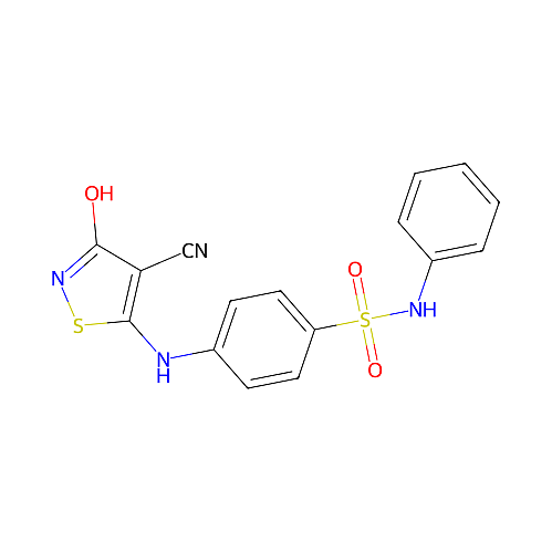 N#Cc1c(O)nsc1Nc1ccc(S(=O)(=O)Nc2ccccc2)cc1